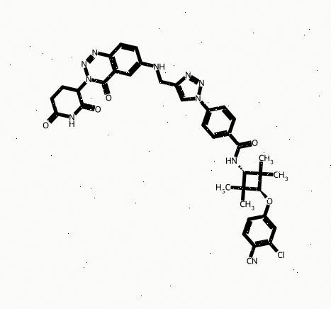 CC1(C)[C@H](NC(=O)c2ccc(-n3cc(CNc4ccc5nnn(C6CCC(=O)NC6=O)c(=O)c5c4)nn3)cc2)C(C)(C)[C@H]1Oc1ccc(C#N)c(Cl)c1